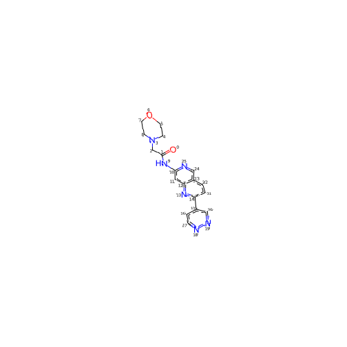 O=C(CN1CCOCC1)Nc1cc2nc(-c3ccnnc3)ccc2cn1